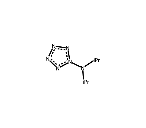 CC(C)N(C(C)C)n1nnnn1